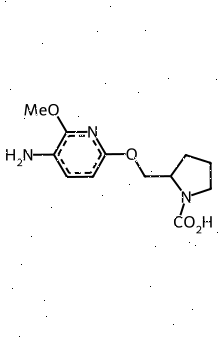 COc1nc(OCC2CCCN2C(=O)O)ccc1N